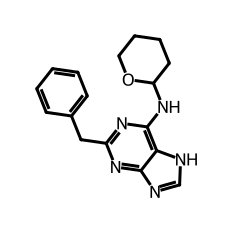 c1ccc(Cc2nc(NC3CCCCO3)c3[nH]cnc3n2)cc1